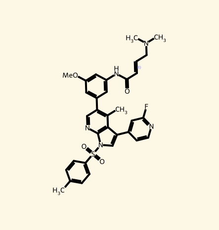 COc1cc(NC(=O)/C=C/CN(C)C)cc(-c2cnc3c(c(-c4ccnc(F)c4)cn3S(=O)(=O)c3ccc(C)cc3)c2C)c1